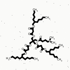 CCCCCC(CCCCC)COC(=O)CC(=O)OCC(COC(=O)CCCN(C)C)(COC(=O)CC(=O)OCC(CCCCC)CCCCC)COC(=O)CC(=O)OCC(CCCCC)CCCCC